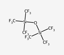 FC(F)(F)[Si](O[Si](C(F)(F)F)(C(F)(F)F)C(F)(F)F)(C(F)(F)F)C(F)(F)F